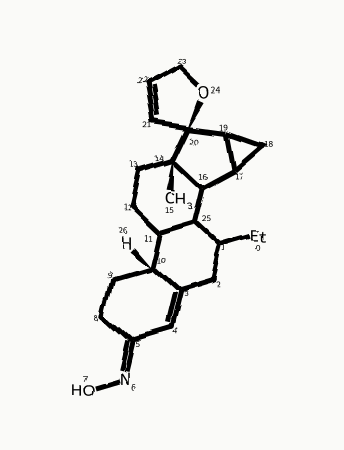 CCC1CC2=CC(=NO)CC[C@@H]2C2CC[C@@]3(C)C(C4CC4[C@@]34C=CCO4)C12